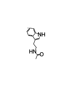 CC(=O)NCCc1c[nH]c2c[c]ccc12